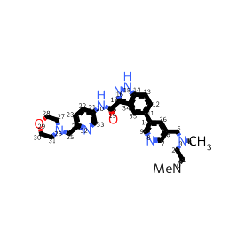 CNCCN(C)Cc1cncc(-c2ccc3[nH]nc(C(=O)Nc4ccc(CN5CCOCC5)nc4)c3c2)c1